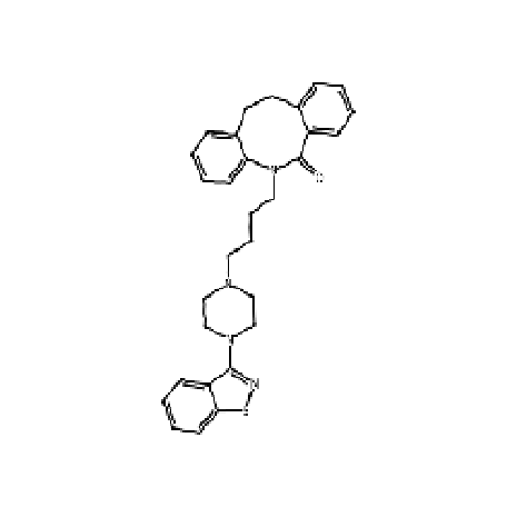 O=C1c2ccccc2CCc2ccccc2N1CCCCN1CCN(c2nsc3ccccc23)CC1